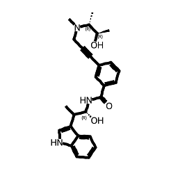 CC(c1c[nH]c2ccccc12)[C@@H](O)NC(=O)c1cccc(C#CCN(C)[C@H](C)[C@@H](C)O)c1